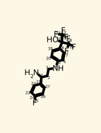 NC(CCNc1ccc(C(O)(C(F)(F)F)C(F)(F)F)cc1)c1ccc(F)cc1